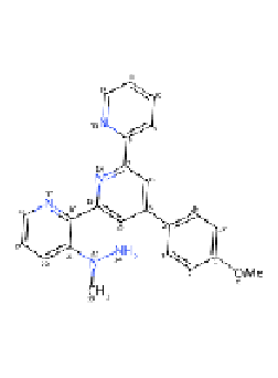 COc1ccc(-c2cc(-c3ccccn3)nc(-c3ncccc3N(C)N)c2)cc1